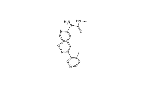 CNC(=O)N(N)c1cc2cc(-c3cnccc3C)ncc2cn1